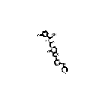 O=C(CN1CCc2sc(-c3ccnc(NC4CCOCC4)n3)cc2C1=O)NC(CO)c1cccc(Cl)c1